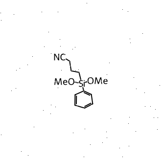 CO[Si](CCCC#N)(OC)c1ccccc1